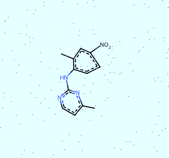 Cc1ccnc(Nc2ccc([N+](=O)[O-])cc2C)n1